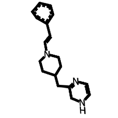 C1=CNCC(CC2CCN(C=Cc3ccccc3)CC2)=N1